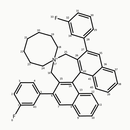 Fc1cccc(-c2cc3ccccc3c3c2C[N+]2(CCCCCCC2)Cc2c(-c4cccc(F)c4)cc4ccccc4c2-3)c1